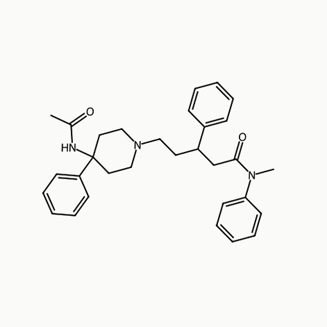 CC(=O)NC1(c2ccccc2)CCN(CCC(CC(=O)N(C)c2ccccc2)c2ccccc2)CC1